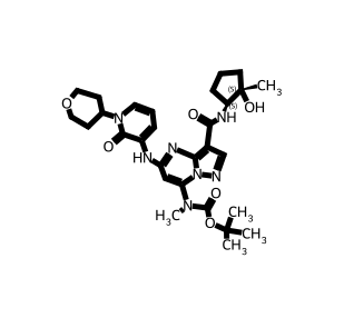 CN(C(=O)OC(C)(C)C)c1cc(Nc2cccn(C3CCOCC3)c2=O)nc2c(C(=O)N[C@H]3CCC[C@]3(C)O)cnn12